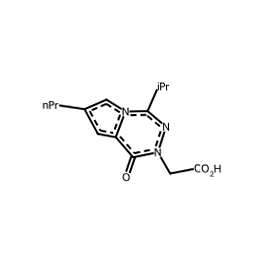 CCCc1cc2c(=O)n(CC(=O)O)nc(C(C)C)n2c1